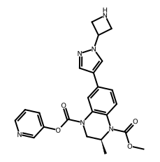 COC(=O)N1c2ccc(-c3cnn(C4CNC4)c3)cc2N(C(=O)Oc2cccnc2)C[C@@H]1C